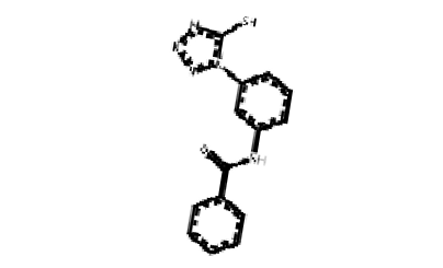 O=C(Nc1cccc(-n2nnnc2S)c1)c1ccccc1